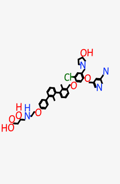 Cc1c(COc2cc(OCc3cncc(C#N)c3)c(CN3CC[C@@H](O)C3)cc2Cl)cccc1-c1cccc(-c2ccc(OCCNC[C@@H](O)CC(=O)O)cc2)c1C